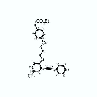 CCOC(=O)Cc1ccc(OCCCOc2ccc(Cl)cc2C#Cc2ccccc2)cc1